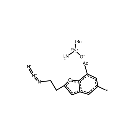 CC(=O)c1cc(F)cc2cc(CCN=[N+]=[N-])oc12.CC(C)(C)[S@+](N)[O-]